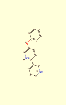 C1=C(c2ccc(Oc3ccccc3)cn2)CNCC1